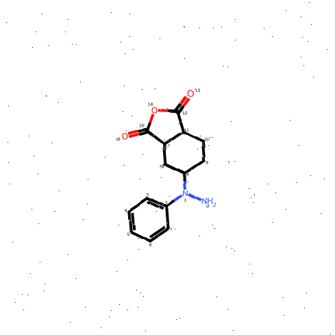 NN(c1ccccc1)C1CCC2C(=O)OC(=O)C2C1